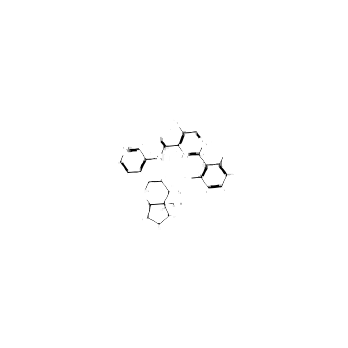 Nc1cnc(-c2c(F)cccc2F)nc1C(=O)Nc1cnccc1[C@@H]1C[C@H](O)[C@]2(O)CCCC2O1